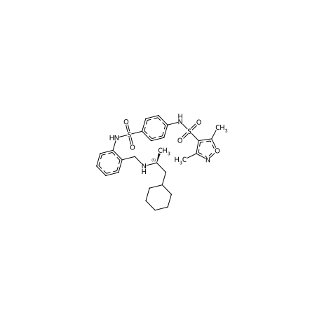 Cc1noc(C)c1S(=O)(=O)Nc1ccc(S(=O)(=O)Nc2ccccc2CN[C@@H](C)CC2CCCCC2)cc1